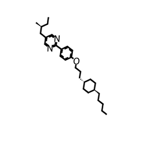 CCCCC[C@H]1CC[C@H](CCCOc2ccc(-c3ncc(C[C@@H](C)CC)cn3)cc2)CC1